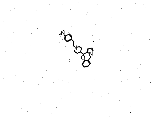 CN(C)c1ccc(CCN2CCC(C3Oc4ccccc4Cn4cccc43)CC2)cc1